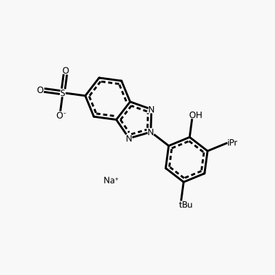 CC(C)c1cc(C(C)(C)C)cc(-n2nc3ccc(S(=O)(=O)[O-])cc3n2)c1O.[Na+]